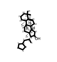 CC(CC1CCCC1)[C@H]1C(O)C[C@H]2[C@@H]3CC=C4C(C)(C)CCC[C@]4(C)[C@H]3CC[C@]12C